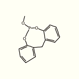 COP1Oc2ccccc2Cc2ccccc2O1